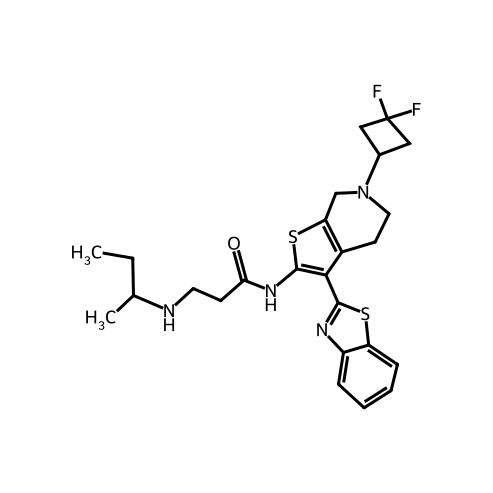 CCC(C)NCCC(=O)Nc1sc2c(c1-c1nc3ccccc3s1)CCN(C1CC(F)(F)C1)C2